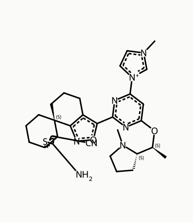 C[C@H](Oc1cc(-[n+]2ccn(C)c2)nc(-c2onc3c2CCC[C@@]32CCCc3sc(N)c(C#N)c32)n1)[C@@H]1CCCN1C